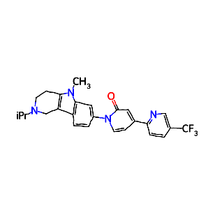 CC(C)N1CCc2c(c3ccc(-n4ccc(-c5ccc(C(F)(F)F)cn5)cc4=O)cc3n2C)C1